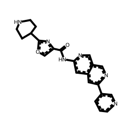 O=C(Nc1cc2cc(-c3cccnc3)ncc2cn1)c1coc(C2CCNCC2)n1